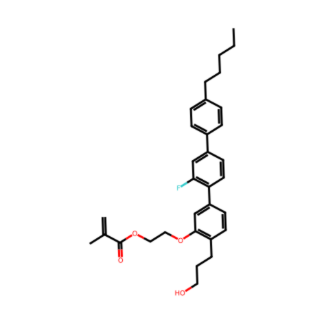 C=C(C)C(=O)OCCOc1cc(-c2ccc(-c3ccc(CCCCC)cc3)cc2F)ccc1CCCO